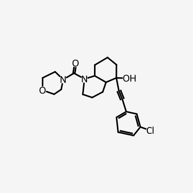 O=C(N1CCOCC1)N1CCCC2C1CCCC2(O)C#Cc1cccc(Cl)c1